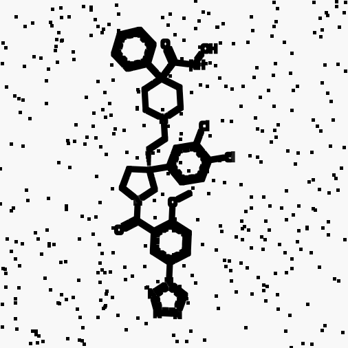 COc1ccc(-n2cnnn2)cc1C(=O)N1CC[C@@](CCN2CCC(C(=O)NO)(c3ccccc3)CC2)(c2ccc(Cl)c(Cl)c2)C1